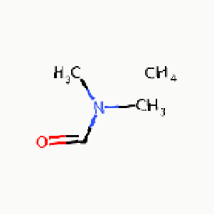 C.CN(C)C=O